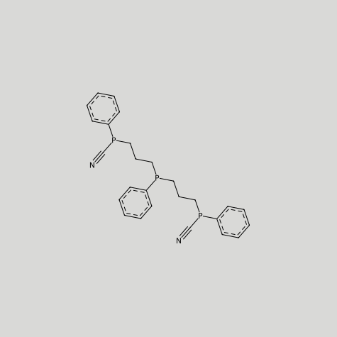 N#CP(CCCP(CCCP(C#N)c1ccccc1)c1ccccc1)c1ccccc1